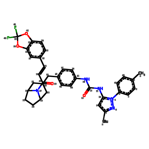 Cc1ccc(-n2nc(C(C)(C)C)cc2NC(=O)Nc2ccc(CC3CC4CCC(C3)N4C(=O)C=Cc3ccc4c(c3)OC(F)(F)O4)cc2)cc1